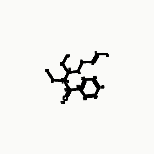 CC=CCCC(CC)N(CC)C(=O)c1ccccc1